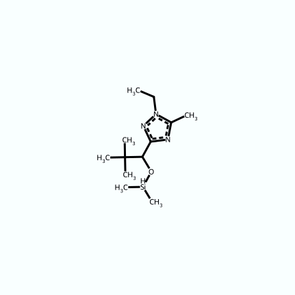 CCn1nc(C(O[SiH](C)C)C(C)(C)C)nc1C